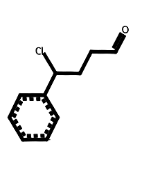 O=CCCC(Cl)c1c[c]ccc1